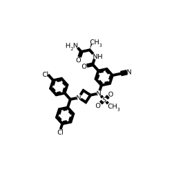 C[C@H](NC(=O)c1cc(C#N)cc(N(C2CN(C(c3ccc(Cl)cc3)c3ccc(Cl)cc3)C2)S(C)(=O)=O)c1)C(N)=O